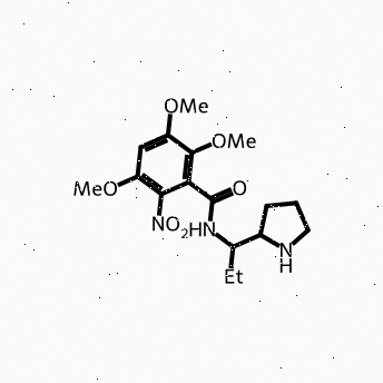 CCC(NC(=O)c1c(OC)c(OC)cc(OC)c1[N+](=O)[O-])C1CCCN1